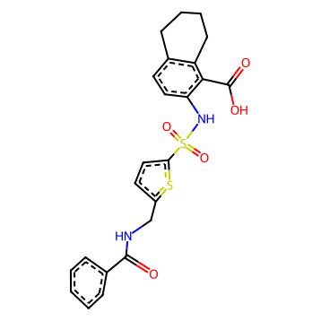 O=C(NCc1ccc(S(=O)(=O)Nc2ccc3c(c2C(=O)O)CCCC3)s1)c1ccccc1